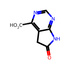 O=C1Cc2c(ncnc2C(=O)O)N1